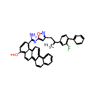 CC(Cc1cc(N=C(N)c2ccc(O)c3ccc4c5ccc6ccccc6c5ccc4c23)on1)c1ccc(-c2ccccc2)c(F)c1